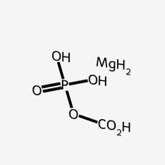 O=C(O)OP(=O)(O)O.[MgH2]